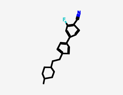 CC1CCC(CCc2ccc(-c3ccc(C#N)c(F)c3)cc2)CC1